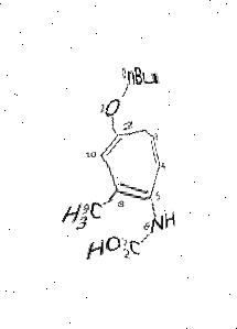 CCCCOc1ccc(NC(=O)O)c(C)c1